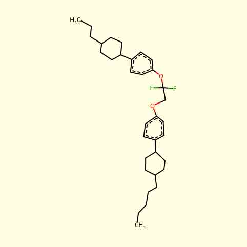 CCCCCC1CCC(c2ccc(OCC(F)(F)Oc3ccc(C4CCC(CCC)CC4)cc3)cc2)CC1